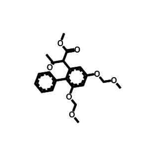 COCOc1cc(OCOC)c(-c2ccccc2)c(C(C(C)=O)C(=O)OC)c1